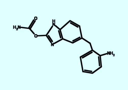 NC(=O)Oc1nc2cc(Cc3ccccc3N)ccc2[nH]1